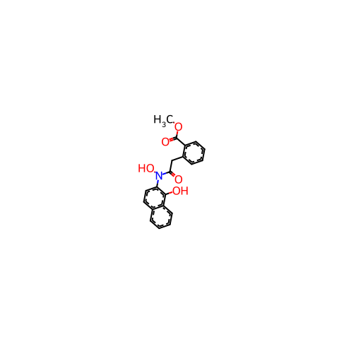 COC(=O)c1ccccc1CC(=O)N(O)c1ccc2ccccc2c1O